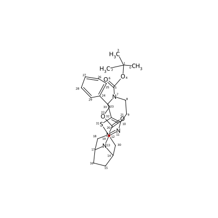 CC(C)(C)OC(=O)N1CCc2nc(N3C4CCC3CN(C(=O)OCc3ccccc3)C4)sc2C1